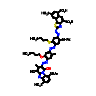 CC(=O)Nc1cc(N=Nc2cc(OCCCS(=O)(=O)O)c(N=Nc3c(C)c(C#N)c4nc5c(S(=O)(=O)O)ccc(NC(C)=O)c5n4c3O)cc2C)c(SCCCS(=O)(=O)O)cc1N=Nc1nc2c(S(=O)(=O)O)cc3c(S(=O)(=O)O)cc(S(=O)(=O)O)cc3c2s1